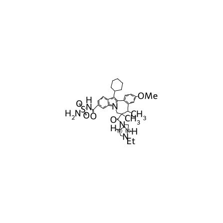 CCN1C[C@H]2C[C@@H]1CN2C(=O)C1(C)Cn2c(c(C3CCCCC3)c3ccc(C(=O)NS(N)(=O)=O)cc32)-c2ccc(OC)cc2C1C